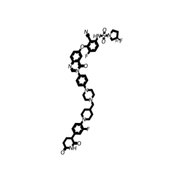 N#Cc1c(NS(=O)(=O)N2CC[C@@H](F)C2)ccc(F)c1Oc1ccc2ncn(-c3ccc(N4CCN(CC5CCN(c6ccc(C7CCC(=O)NC7=O)cc6F)CC5)CC4)cc3)c(=O)c2c1